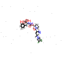 CC(C)(C=C(C#N)C(=O)N1CCCC[C@@H]1COC(=O)N[C@@H](Cc1ccccc1)B(O)O)N1C[C@@H](F)[C@@H](F)C1